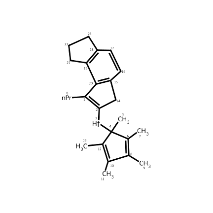 CCCC1=[C]([Hf][C]2(C)C(C)=C(C)C(C)=C2C)Cc2ccc3c(c21)CCC3